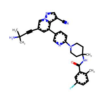 Cc1ccc(F)cc1C(=O)NC1(C)CCN(c2ccc(-c3cc(C#CC(C)(C)N)cn4ncc(C#N)c34)cn2)CC1